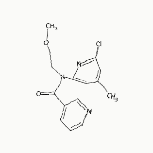 COCCN(C(=O)c1cccnc1)c1cc(C)cc(Cl)n1